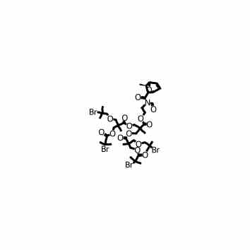 C[C@H]1C2C=CC(O2)C1C(=O)N(C=O)CCOC(=O)C(C)(COC(=O)C(C)(COCC(C)(C)Br)COC(=O)C(C)(C)Br)COC(=O)C(C)(COCC(C)(C)Br)COC(=O)C(C)(C)Br